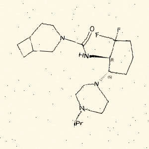 CC(C)N1CCN([C@H]2CCCC(F)(F)[C@@H]2NC(=O)N2CCC3CCC3C2)CC1